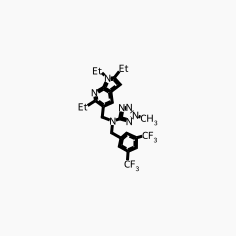 [CH2]Cc1nc2c(cc1CN(Cc1cc(C(F)(F)F)cc(C(F)(F)F)c1)c1nnn(C)n1)cc(CC)n2CC